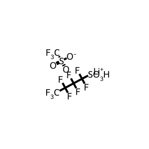 O=S(=O)(O)C(F)(F)C(F)(F)C(F)(F)C(F)(F)F.O=S(=O)([O-])C(F)(F)F.[Li+]